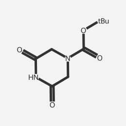 CC(C)(C)OC(=O)N1CC(=O)NC(=O)C1